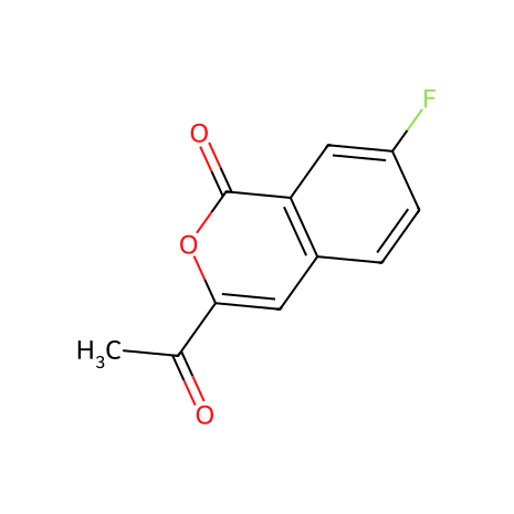 CC(=O)c1cc2ccc(F)cc2c(=O)o1